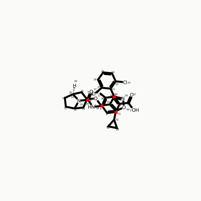 O=C(O)c1ccc(NC(=O)N2C3CC[C@H]2CC(OCc2c(-c4c(Cl)cccc4Cl)noc2C2CC2)C3)c(F)c1